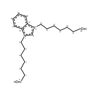 CCCCCCCCCCCCCCCCn1c[n+](CCCCCCCCCCCCCCCC)c2ccccc21